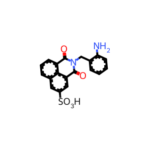 Nc1ccccc1CN1C(=O)c2cccc3cc(S(=O)(=O)O)cc(c23)C1=O